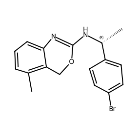 Cc1cccc2c1COC(N[C@H](C)c1ccc(Br)cc1)=N2